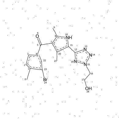 Cc1ccc(C(=O)c2c(C)[nH]c(-c3nnn(CCO)n3)c2C)cc1Br